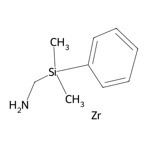 C[Si](C)(CN)c1ccccc1.[Zr]